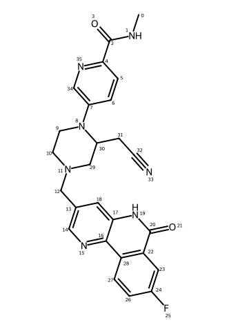 CNC(=O)c1ccc(N2CCN(Cc3cnc4c(c3)[nH]c(=O)c3cc(F)ccc34)CC2CC#N)cn1